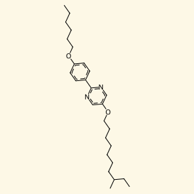 CCCCCCOc1ccc(-c2ncc(OCCCCCCCC(C)CC)cn2)cc1